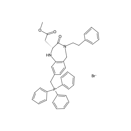 COC(=O)C[C@H]1Nc2cc(C[P+](c3ccccc3)(c3ccccc3)c3ccccc3)ccc2CN(CCc2ccccc2)C1=O.[Br-]